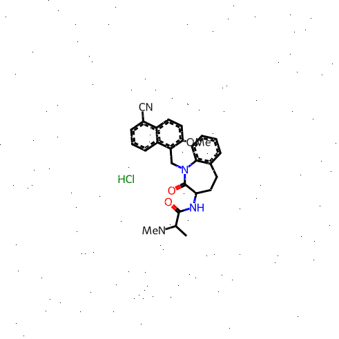 CNC(C)C(=O)NC1CCc2ccccc2N(Cc2c(OC)ccc3c(C#N)cccc23)C1=O.Cl